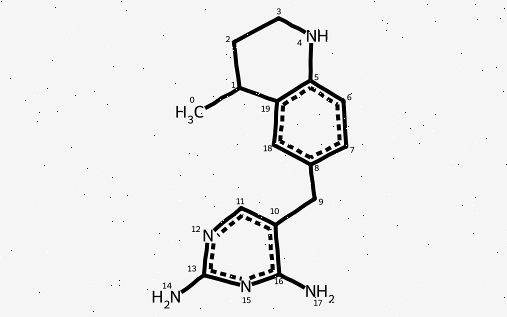 CC1CCNc2ccc(Cc3cnc(N)nc3N)cc21